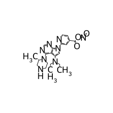 CCN(CC)c1cn(-c2cc(C(=O)ON=O)ccn2)c2ncnc(N3CCNC[C@@H]3C)c12